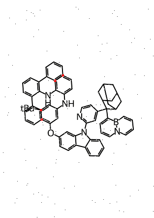 CC(C)(C)c1cc(Nc2ccccc2Nc2c(-c3ccccc3)cccc2-c2ccccc2)cc(Oc2ccc3c4ccccc4n(-c4cc(C5(C6=CC=CN7C=CC=CB67)C6CC7CC(C6)CC5C7)ccn4)c3c2)c1